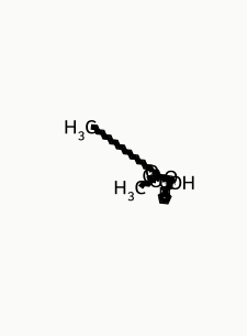 CCCCCCCCCCCCCCCCCCOCC(COP(=O)(O)CCN1CCCC1)OC(=O)CCC